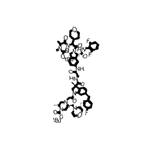 CC(C(=O)NC(C(=O)N1Cc2ccc(NC(=O)CNC(=O)[C@@]3(C)CN(C(=O)CN4C[C@@H](C)N(C(=O)OC(C)(C)C)C[C@@H]4CN4CCOC[C@H]4C)c4cc(Cc5ccc(F)cc5)ccc43)cc2[C@H]1C(=O)Nc1c(F)cccc1F)C1CCOCC1)N(C)C(=O)OC(C)(C)C